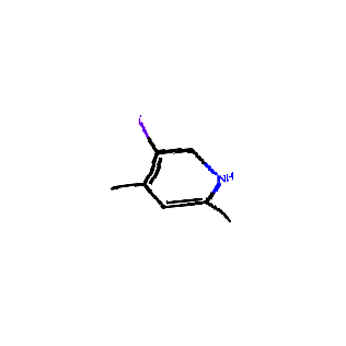 CC1=CC(C)=C(I)CN1